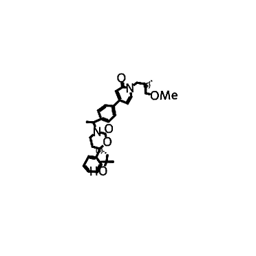 COC[C@@H](C)Cn1ccc(-c2ccc(C(C)N3CC[C@](CC(C)(C)O)(c4ccccc4)OC3=O)cc2)cc1=O